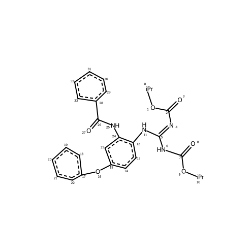 CC(C)OC(=O)N=C(NC(=O)OC(C)C)Nc1ccc(Oc2ccccc2)cc1NC(=O)c1ccccc1